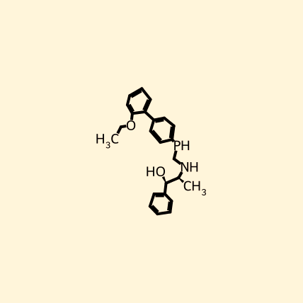 CCOc1ccccc1-c1ccc(PCN[C@@H](C)[C@H](O)c2ccccc2)cc1